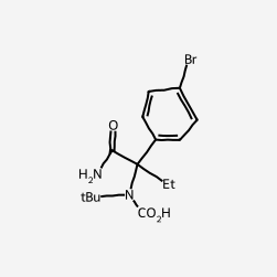 CCC(C(N)=O)(c1ccc(Br)cc1)N(C(=O)O)C(C)(C)C